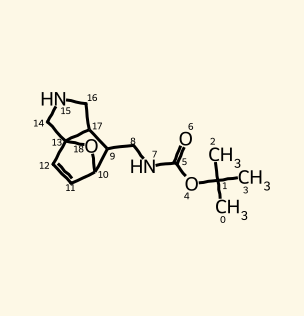 CC(C)(C)OC(=O)NCC1C2C=CC3(CNCC13)O2